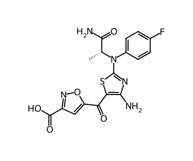 C[C@H](C(N)=O)N(c1ccc(F)cc1)c1nc(N)c(C(=O)c2cc(C(=O)O)no2)s1